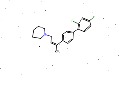 C/C(=C/CN1CCCCC1)c1ccc(-c2ccc(F)cc2F)cc1